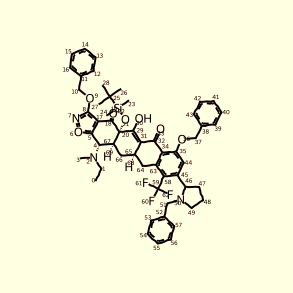 CCN(C)[C@@H]1c2onc(OCc3ccccc3)c2C(=O)[C@@]2(O[Si](C)(C)C(C)(C)C)C(O)=C3C(=O)c4c(OCc5ccccc5)cc(C5CCCN5Cc5ccccc5)c(C(F)(F)F)c4C[C@H]3C[C@@H]12